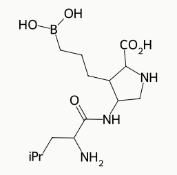 CC(C)CC(N)C(=O)NC1CNC(C(=O)O)C1CCCB(O)O